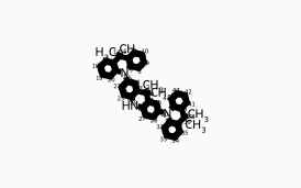 CC1(C)c2cc(N3c4ccccc4C(C)(C)c4ccccc43)ccc2Nc2ccc(N3c4ccccc4C(C)(C)c4ccccc43)cc21